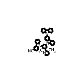 Cc1cccnc1-c1cc(-n2c3ccccc3c3cc(-n4c5ccccc5c5ccccc54)ccc32)cc(-n2c3ccccc3c3cc(C#N)ccc32)c1C